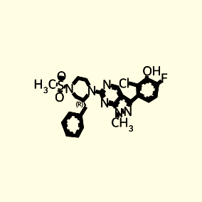 Cn1nc(-c2ccc(F)c(O)c2Cl)c2cnc(N3CCN(S(C)(=O)=O)C[C@H]3Cc3ccccc3)nc21